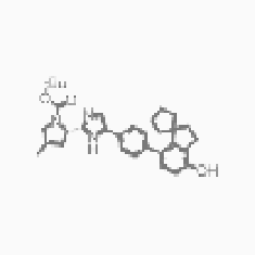 CC1=C[C@@H](c2ncc(-c3ccc(-c4ccc(O)c5c4C4(CCCC4)CC5)cc3)[nH]2)N(C(=O)OC(C)(C)C)C1